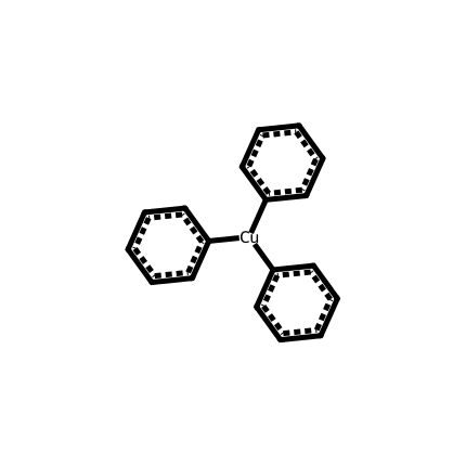 c1cc[c]([Cu]([c]2ccccc2)[c]2ccccc2)cc1